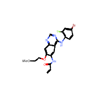 C=CC(=O)Nc1cc2c(Nc3ccc(Br)cc3F)ncnc2cc1OCCOC